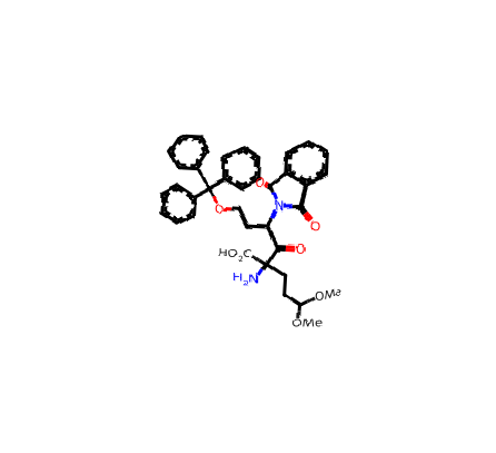 COC(CCC(N)(C(=O)O)C(=O)C(CCOC(c1ccccc1)(c1ccccc1)c1ccccc1)N1C(=O)c2ccccc2C1=O)OC